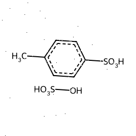 Cc1ccc(S(=O)(=O)O)cc1.O=S(=O)(O)O